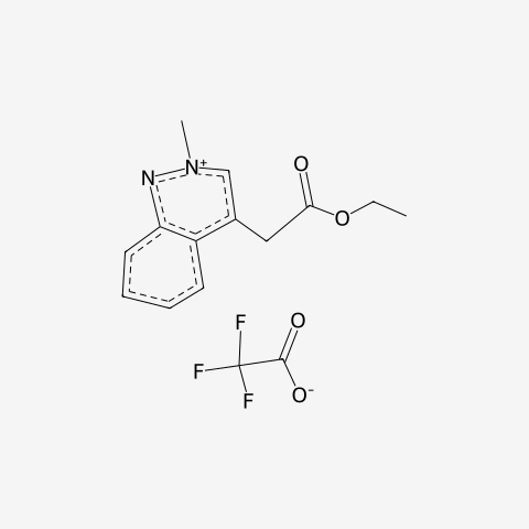 CCOC(=O)Cc1c[n+](C)nc2ccccc12.O=C([O-])C(F)(F)F